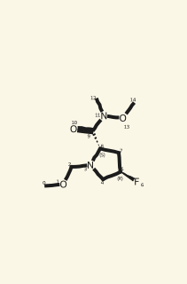 COCN1C[C@H](F)C[C@H]1C(=O)N(C)OC